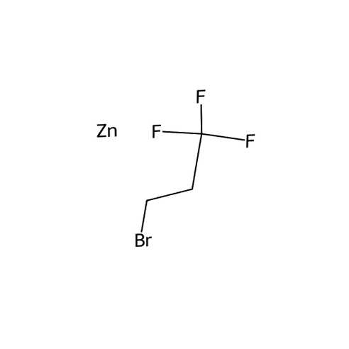 FC(F)(F)CCBr.[Zn]